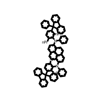 CCCc1ccc(C2(c3ccccc3)c3ccccc3-c3ccccc32)c(CCC)c1N(c1ccccc1)c1ccc2ccc3c(N(c4ccccc4)c4c(CCC)ccc(C5(c6ccccc6)c6ccccc6-c6ccccc65)c4CCC)ccc4ccc1c2c43